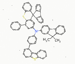 CC1(C)c2ccccc2-c2ccc(N(c3ccc(-c4cccc5sc6ccccc6c45)cc3)c3cc(-c4ccccc4)c4c(c3)C3(c5ccccc5S4)c4ccccc4-c4ccccc43)cc21